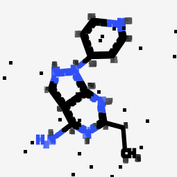 CCc1nc(N)c2cnn(-c3ccncc3)c2n1